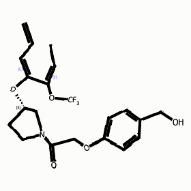 C=C/C=C(O[C@H]1CCN(C(=O)COc2ccc(CO)cc2)C1)\C(=C/C)OC(F)(F)F